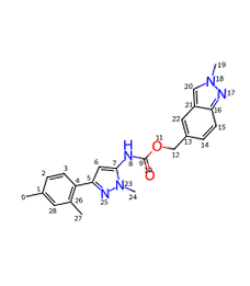 Cc1ccc(-c2cc(NC(=O)OCc3ccc4nn(C)cc4c3)n(C)n2)c(C)c1